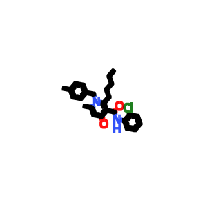 CCCCCc1c(C(=O)Nc2ccccc2Cl)c(=O)cc(C)n1Cc1ccc(C)cc1